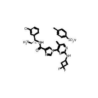 Cc1ccc(S(=O)(=O)O)cc1.Cc1cnc(NC2CC(F)(F)C2)nc1-n1cnc(C(=O)N[C@H](CN)c2cccc(Cl)c2)c1